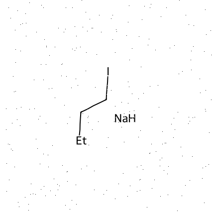 CCCCI.[NaH]